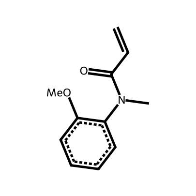 C=CC(=O)N(C)c1ccccc1OC